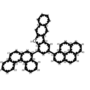 c1ccc2cc3c(cc2c1)oc1c(-c2cc4ccc5ccccc5c4c4ccccc24)cc(-c2ccc4ccc5cccc6ccc2c4c56)cc13